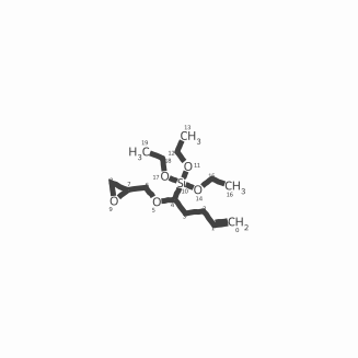 C=CCCC(OCC1CO1)[Si](OCC)(OCC)OCC